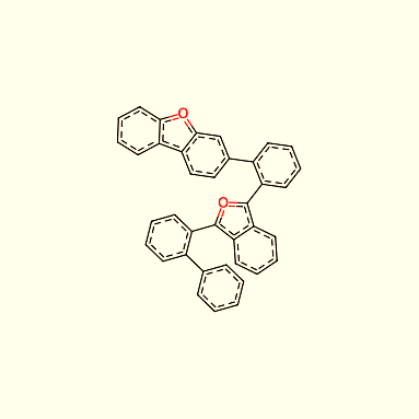 c1ccc(-c2ccccc2-c2oc(-c3ccccc3-c3ccc4c(c3)oc3ccccc34)c3ccccc23)cc1